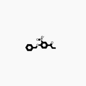 CCC(=O)c1ccc(OCc2ccccc2)c([N+](=O)[O-])c1